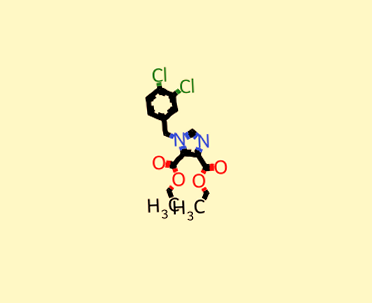 CCOC(=O)c1ncn(Cc2ccc(Cl)c(Cl)c2)c1C(=O)OCC